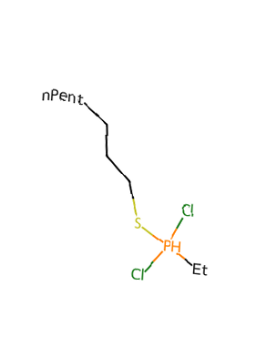 CCCCCCCCS[PH](Cl)(Cl)CC